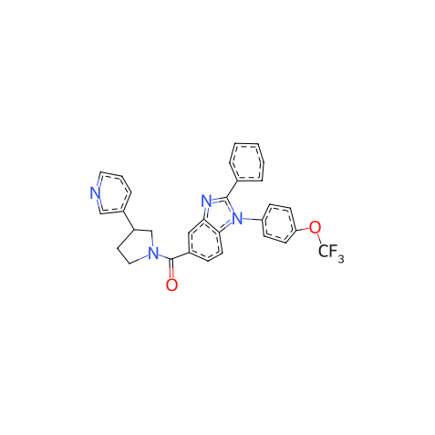 O=C(c1ccc2c(c1)nc(-c1ccccc1)n2-c1ccc(OC(F)(F)F)cc1)N1CCC(c2cccnc2)C1